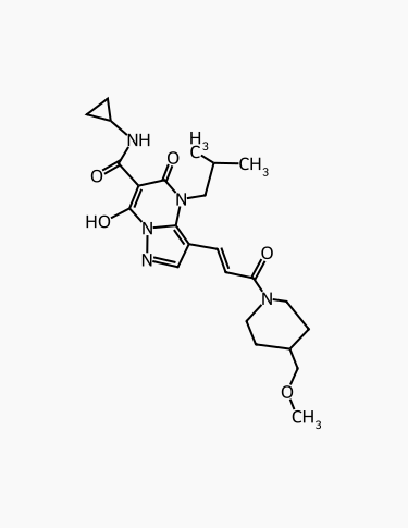 COCC1CCN(C(=O)C=Cc2cnn3c(O)c(C(=O)NC4CC4)c(=O)n(CC(C)C)c23)CC1